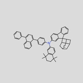 CC1(C)CCC(C)(C)c2cc(N(c3ccc(-c4ccc(-c5ccccc5)c5ccccc45)cc3)c3ccc4c(c3)C3(c5ccccc5-4)C4CC5CC6CC3C64C5)ccc21